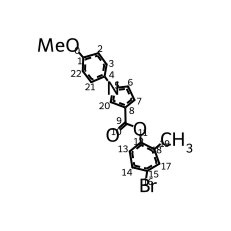 COc1ccc(-n2ccc(C(=O)Oc3ccc(Br)cc3C)c2)cc1